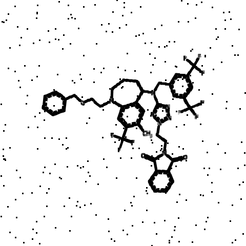 Cc1cc2c(cc1C(F)(F)F)N(CCOCc1ccccc1)CCCC2N(Cc1cc(C(F)(F)F)cc(C(F)(F)F)c1)c1nnn(CCN2C(=O)c3ccccc3C2=O)n1